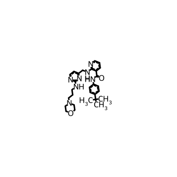 CC(C)(C)c1ccc(NC(=O)c2cccnc2NCc2ccnc(NCCCN3CCOCC3)n2)cc1